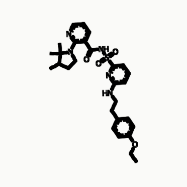 CCOc1ccc(CCNc2cccc(S(=O)(=O)NC(=O)c3cccnc3N3CCC(C)C3(C)C)n2)cc1